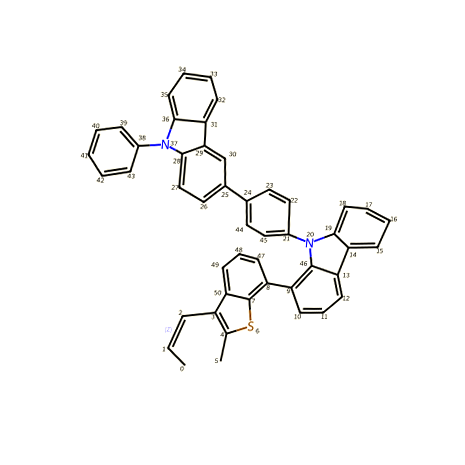 C/C=C\c1c(C)sc2c(-c3cccc4c5ccccc5n(-c5ccc(-c6ccc7c(c6)c6ccccc6n7-c6ccccc6)cc5)c34)cccc12